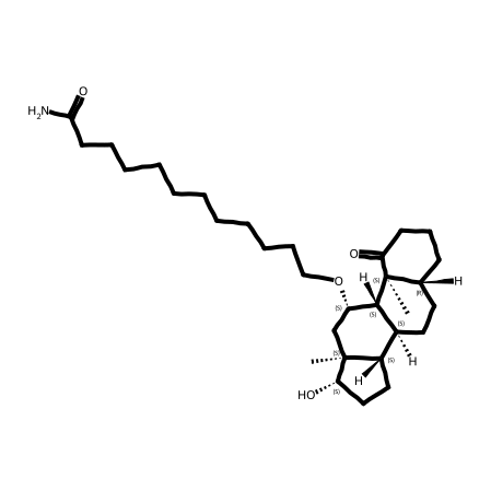 C[C@]12C[C@H](OCCCCCCCCCCCC(N)=O)[C@H]3[C@@H](CC[C@H]4CCCC(=O)[C@@]43C)[C@@H]1CC[C@@H]2O